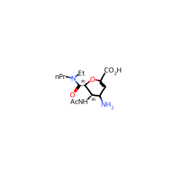 CCCN(CC)C(=O)[C@@H]1OC(C(=O)O)=CC(N)[C@H]1NC(C)=O